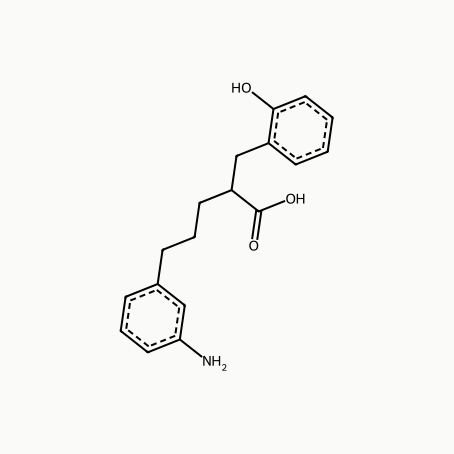 Nc1cccc(CCCC(Cc2ccccc2O)C(=O)O)c1